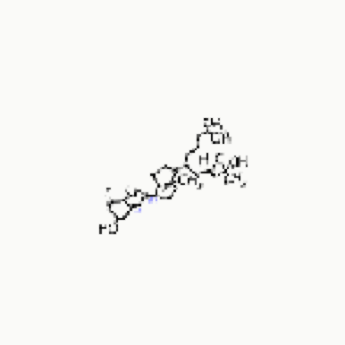 C=C1/C(=C\C=C2/CCC[C@@]3(C)C2CC[C@@H]3C(CCCC(C)O)CCCC(C)(C)O)CC(O)C[C@@H]1F